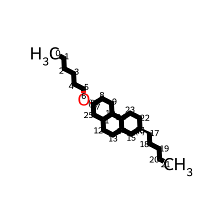 CCCCCCO[C@@H]1CCC2C(CCC3C[C@H](CCCCC)CCC32)C1